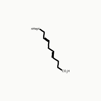 CCCCCCCCC=CCC=CCCC(=O)O